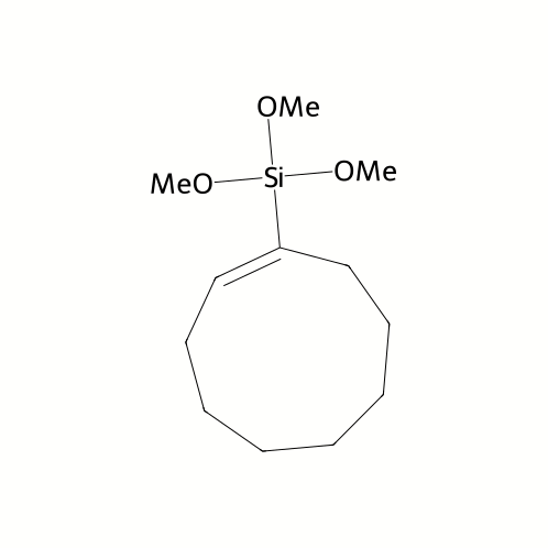 CO[Si](OC)(OC)C1=CCCCCCCC1